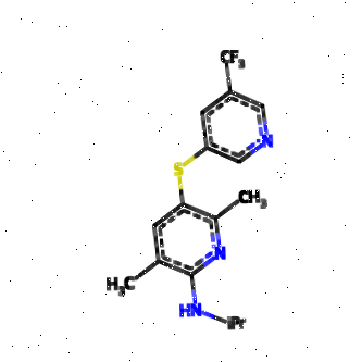 Cc1cc(Sc2cncc(C(F)(F)F)c2)c(C)nc1NC(C)C